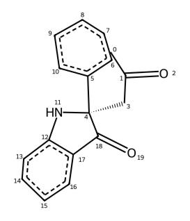 CC(=O)C[C@@]1(c2ccccc2)Nc2ccccc2C1=O